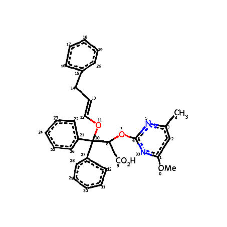 COc1cc(C)nc(OC(C(=O)O)C(OC=CCc2ccccc2)(c2ccccc2)c2ccccc2)n1